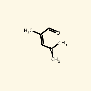 CC(C=O)=CN(C)C